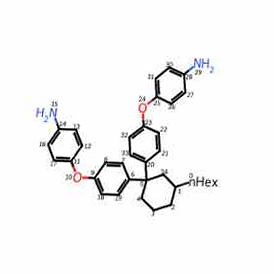 CCCCCCC1CCCC(c2ccc(Oc3ccc(N)cc3)cc2)(c2ccc(Oc3ccc(N)cc3)cc2)C1